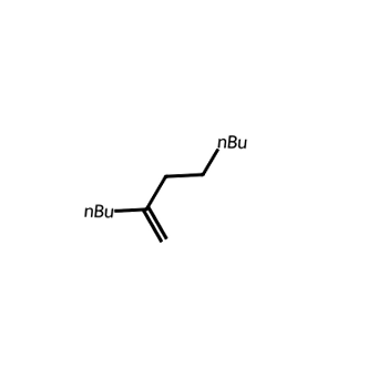 [CH2]CCCCCC(=C)CCCC